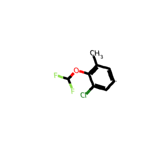 Cc1c[c]cc(Cl)c1OC(F)F